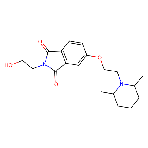 CC1CCCC(C)N1CCOc1ccc2c(c1)C(=O)N(CCO)C2=O